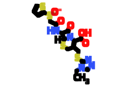 CCn1cnnc1SCC1=C(C(=O)O)N2C(=O)C(NC(=O)C[S+]([O-])c3cccs3)[C@@H]2SC1